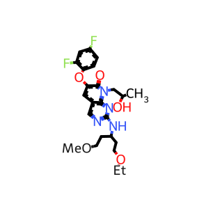 CCOCCC(CCOC)Nc1ncc2cc(Oc3ccc(F)cc3F)c(=O)n(CC(C)O)c2n1